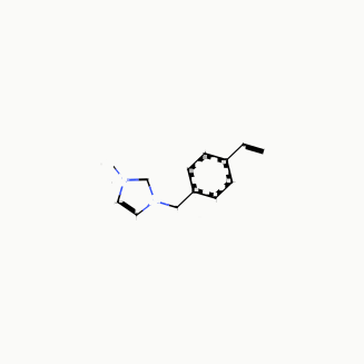 C=Cc1ccc(CN2C=CN(CCC)C2)cc1.Cl